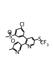 Cc1ccc(-c2ncc(SC(F)(F)F)cc2-c2cc(Cl)cc(S(C)(=O)=O)c2)cn1